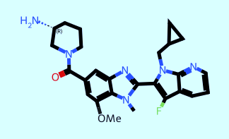 COc1cc(C(=O)N2CCC[C@@H](N)C2)cc2nc(-c3c(F)c4cccnc4n3CC3CC3)n(C)c12